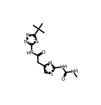 CNC(=O)Nc1nc(CC(=O)Nc2nnc(C(C)(C)C)s2)cs1